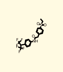 CCS(=O)(=O)c1ccc(CC(=O)Nc2ccc(C(C(F)(F)F)C(F)(F)F)cc2)cc1